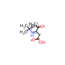 CC(=O)C(CC(=O)O)NC(C)(C)C